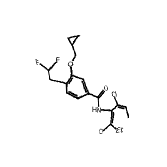 C/C=C(Cl)\C(NC(=O)c1ccc(CC(F)F)c(OCC2CC2)c1)=C(\Cl)CC